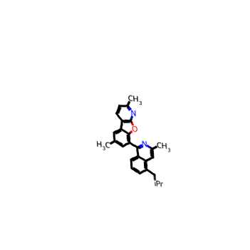 Cc1cc(-c2nc(C)cc3c(CC(C)C)cccc23)c2oc3nc(C)ccc3c2c1